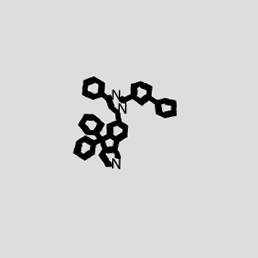 c1ccc(-c2cccc(-c3nc(-c4ccccc4)cc(-c4ccc5c(c4)C(c4ccccc4)(c4ccccc4)c4ccncc4-5)n3)c2)cc1